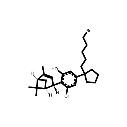 CC1=C[C@H](c2c(O)cc(C3(CCCCCBr)CCCC3)cc2O)[C@@H]2C[C@H]1C2(C)C